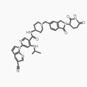 CC(C)Nc1cc(-n2ccc3cc(C#N)cnc32)ncc1C(=O)NC1CCN(Cc2ccc3c(c2)CN(C2CCC(=O)NC2=O)C3=O)CC1